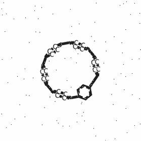 c1cc2ccc1=c1ccc(cc1)=c1ccc(cc1)=c1ccc(cc1)=c1ccc(cc1)=c1ccc=2cc1